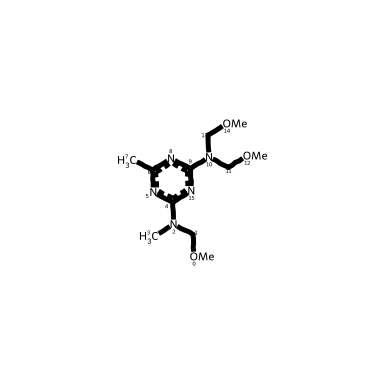 COCN(C)c1nc(C)nc(N(COC)COC)n1